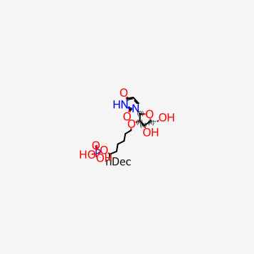 CCCCCCCCCCC(CCCCCO[C@@H]1[C@H](O)[C@@H](CO)O[C@H]1n1ccc(=O)[nH]c1=O)OP(=O)(O)O